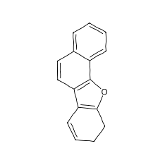 C1=Cc2c(oc3c2ccc2ccccc23)CC1